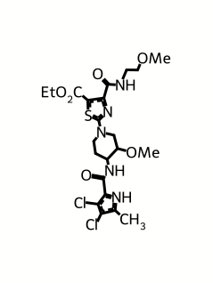 CCOC(=O)c1sc(N2CCC(NC(=O)c3[nH]c(C)c(Cl)c3Cl)C(OC)C2)nc1C(=O)NCCOC